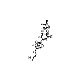 CCCC12COC(c3cc(F)c(OC(F)(F)C(F)F)c(F)c3)(OC1)OC2